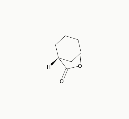 O=C1OC2CCC[C@@H]1C2